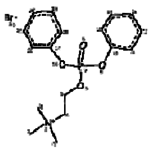 C[N+](C)(C)CCOP(=O)(Oc1ccccc1)Oc1ccccc1.[Br-]